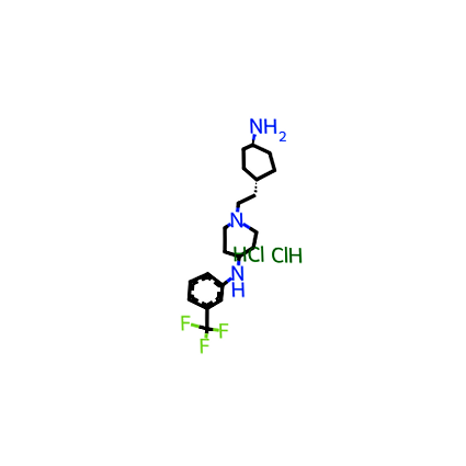 Cl.Cl.N[C@H]1CC[C@H](CCN2CCC(Nc3cccc(C(F)(F)F)c3)CC2)CC1